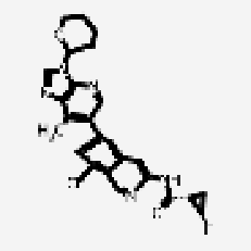 Cc1c(-c2cc(Cl)c3cnc(NC(=O)[C@@H]4C[C@@H]4F)cc3c2)cnc2c1ncn2C1CCCCO1